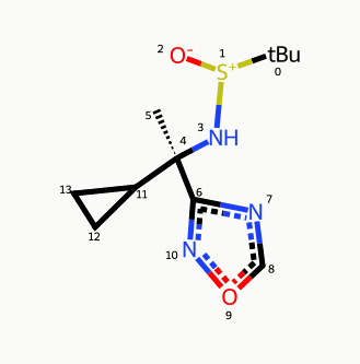 CC(C)(C)[S+]([O-])N[C@@](C)(c1ncon1)C1CC1